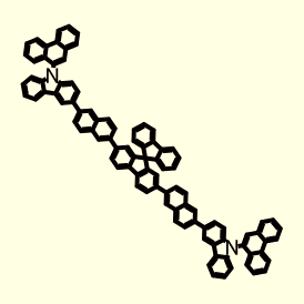 c1ccc2c(c1)-c1ccccc1C21c2cc(-c3ccc4cc(-c5ccc6c(c5)c5ccccc5n6-c5cc6ccccc6c6ccccc56)ccc4c3)ccc2-c2ccc(-c3ccc4cc(-c5ccc6c(c5)c5ccccc5n6-c5cc6ccccc6c6ccccc56)ccc4c3)cc21